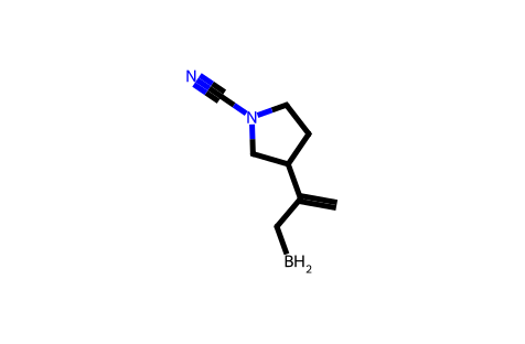 BCC(=C)C1CCN(C#N)C1